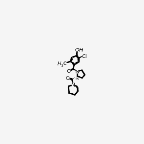 Cc1cc(O)c(Cl)cc1C(=O)N1CCC[C@@H]1C(=O)N1CCCCC1